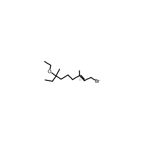 CCOC(C)(CC)CCC/C(C)=C/CBr